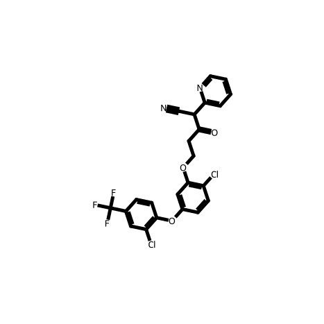 N#CC(C(=O)CCOc1cc(Oc2ccc(C(F)(F)F)cc2Cl)ccc1Cl)c1ccccn1